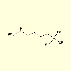 CC(C)(O)CCCCNC(=O)O